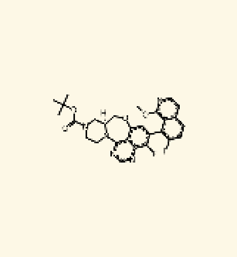 COc1nccc2ccc(F)c(-c3cc4c5c(ncnc5c3F)N3CCN(C(=O)OC(C)(C)C)C[C@H]3CO4)c12